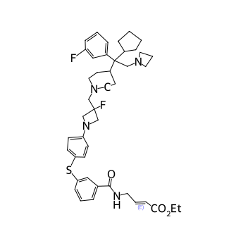 CCOC(=O)/C=C/CNC(=O)c1cccc(Sc2ccc(N3CC(F)(CN4CCC(C(CN5CCC5)(c5cccc(F)c5)C5CCCC5)CC4)C3)cc2)c1